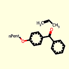 C=CC.CCCCCOc1ccc(C(=O)c2ccccc2)cc1